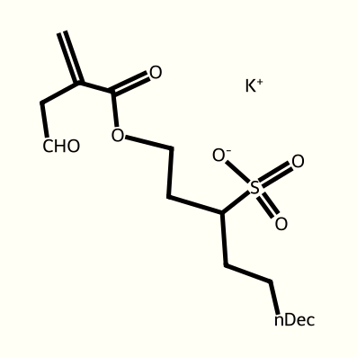 C=C(CC=O)C(=O)OCCC(CCCCCCCCCCCC)S(=O)(=O)[O-].[K+]